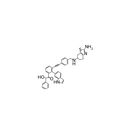 Nc1nc2c(s1)CC(NCc1ccc(C#Cc3cccc(C(=O)C(O)c4ccccc4)c3-c3ccc4cc[nH]c4c3)cc1)CC2